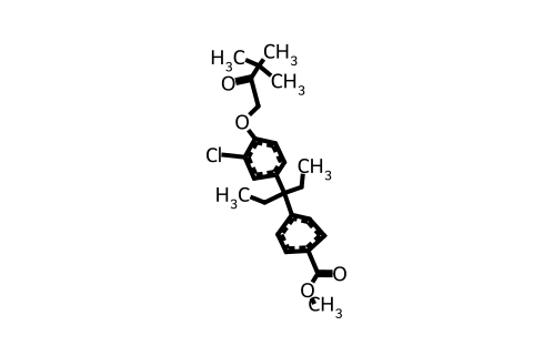 CCC(CC)(c1ccc(C(=O)OC)cc1)c1ccc(OCC(=O)C(C)(C)C)c(Cl)c1